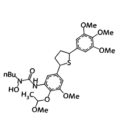 CCCCN(O)C(=O)Nc1cc(C2CCC(c3cc(OC)c(OC)c(OC)c3)S2)cc(OC)c1OC(C)OC